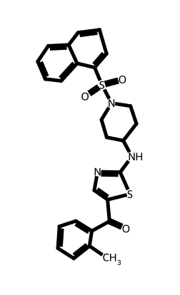 Cc1ccccc1C(=O)c1cnc(NC2CCN(S(=O)(=O)c3cccc4ccccc34)CC2)s1